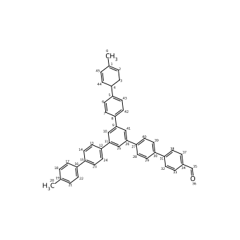 CC1=CCC(c2ccc(-c3cc(-c4ccc(-c5ccc(C)cc5)cc4)cc(-c4ccc(-c5ccc(C=O)cc5)cc4)c3)cc2)C=C1